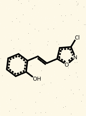 Oc1ccccc1C=Cc1cc(Cl)no1